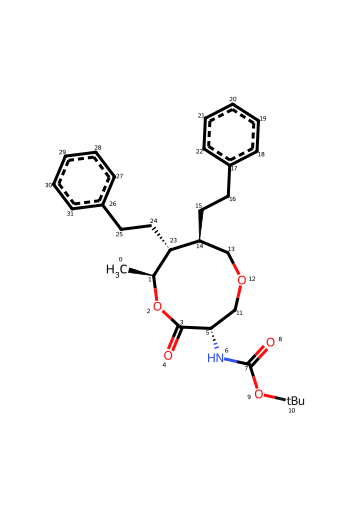 C[C@@H]1OC(=O)[C@@H](NC(=O)OC(C)(C)C)COC[C@H](CCc2ccccc2)[C@H]1CCc1ccccc1